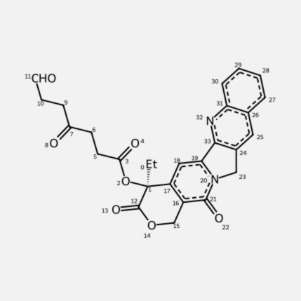 CC[C@@]1(OC(=O)CCC(=O)CCC=O)C(=O)OCc2c1cc1n(c2=O)Cc2cc3ccccc3nc2-1